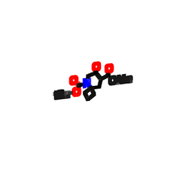 COC(=O)C1CC2(CCC2)N(C(=O)OC(C)(C)C)CC1=O